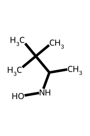 CC(NO)C(C)(C)C